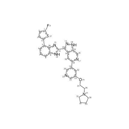 Fc1ccc(-c2cccc3[nH]c(-c4n[nH]c5cnc(-c6cncc(OCCN7CCCC7)c6)cc45)nc23)s1